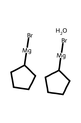 O.[Br][Mg][CH]1CCCC1.[Br][Mg][CH]1CCCC1